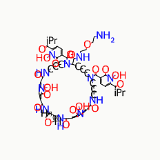 CC(C)C(=O)c1ccc(C(=O)N2CCCNC(=O)c3ccc(c(=O)n3O)C(=O)N[C@@H]3COC[C@@H]3NC(=O)c3ccc(n(O)c3=O)C(=O)NCCCN(C(=O)c3ccc(C(=O)C(C)C)n(O)c3=O)C(C(=O)NCCOCCN)CCC2)c(=O)n1O